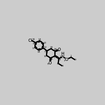 CCONC(CC)=C1C(=O)CC(c2ccc(Cl)cc2)CC1=O